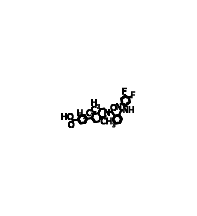 CC1(C)C(c2ccc(C(=O)O)cc2)=CC[C@]2(C)CN(C(=O)c3ccccc3-c3nc4cc(F)c(F)cc4[nH]3)CC=C12